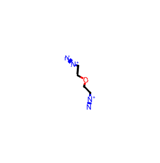 N#[N+]CCOCC[N+]#N